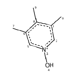 Cc1c[n+](O)cc(C)c1C